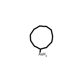 [AsH2]C1CCCCCCCCCC1